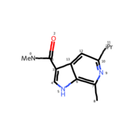 CNC(=O)c1c[nH]c2c(C)nc(C(C)C)cc12